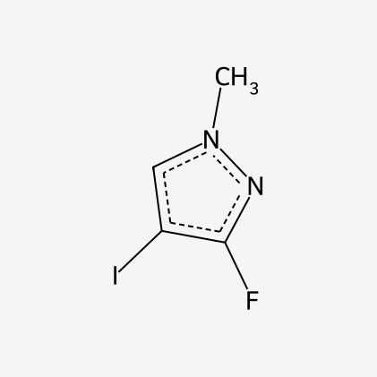 Cn1cc(I)c(F)n1